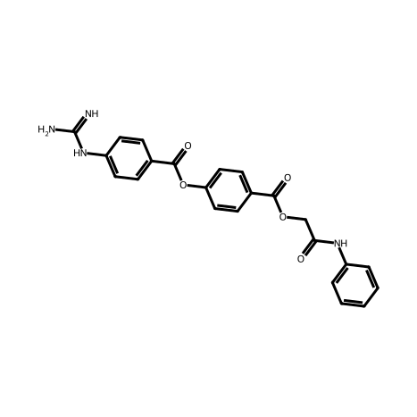 N=C(N)Nc1ccc(C(=O)Oc2ccc(C(=O)OCC(=O)Nc3ccccc3)cc2)cc1